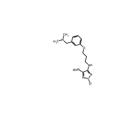 CNc1n[s+]([O-])nc1NCCCOc1cccc(CN(C)C)c1